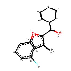 Cc1c(C(O)C2CCCCC2)oc2cccc(F)c12